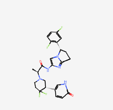 C[C@@H](C(=O)Nc1cn2c(n1)CC[C@H]2c1cc(F)ccc1F)N1CCC(F)(F)[C@@H](c2ccc(=O)[nH]c2)C1